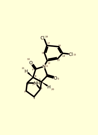 O=C1[C@@H]2C3CCC(N3)[C@@H]2C(=O)N1c1cc(Cl)cc(Cl)c1